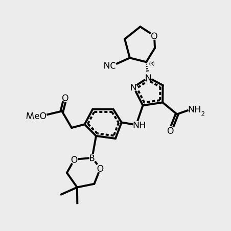 COC(=O)Cc1ccc(Nc2nn([C@H]3COCCC3C#N)cc2C(N)=O)cc1B1OCC(C)(C)CO1